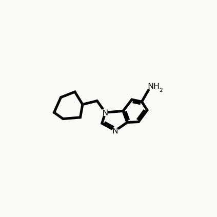 Nc1ccc2ncn(CC3CCCCC3)c2c1